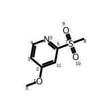 COc1ccnc(S(C)(=O)=O)c1